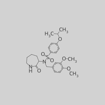 COc1ccc(CN(C2CCCCNC2=O)S(=O)(=O)c2ccc(OC(C)C)cc2)cc1OC